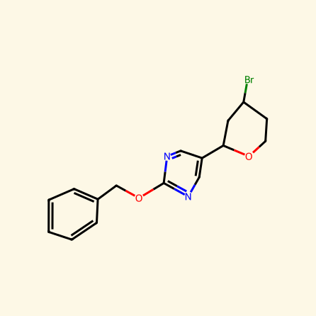 BrC1CCOC(c2cnc(OCc3ccccc3)nc2)C1